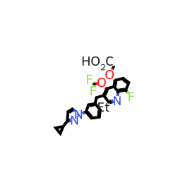 CCc1nc2c(F)ccc(OCC(=O)O)c2c(OC(F)F)c1Cc1cccc(-n2ccc(C3CC3)n2)c1